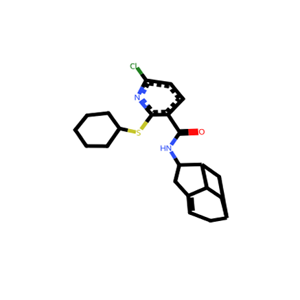 O=C(NC1CC2=CCC3CC2C1C3)c1ccc(Cl)nc1SC1CCCCC1